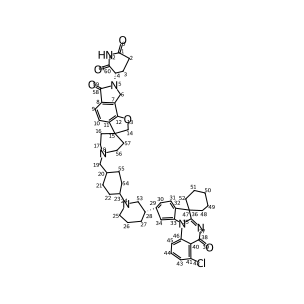 O=C1CC[C@H](N2Cc3c(ccc4c3OCC43CCN(CC4CCC(N5CCC[C@@H](c6ccc7c(c6)-n6c(nc(=O)c8c(Cl)cccc86)C76CCCCC6)C5)CC4)CC3)C2=O)C(=O)N1